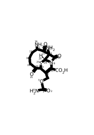 NC(=O)OCC1=C(C(=O)O)N2C(=O)C3(N)C(=O)C(N)CCCC(=O)C1S[C@H]23